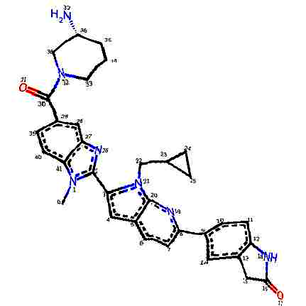 Cn1c(-c2cc3ccc(-c4ccc5c(c4)CC(=O)N5)nc3n2CC2CC2)nc2cc(C(=O)N3CCC[C@@H](N)C3)ccc21